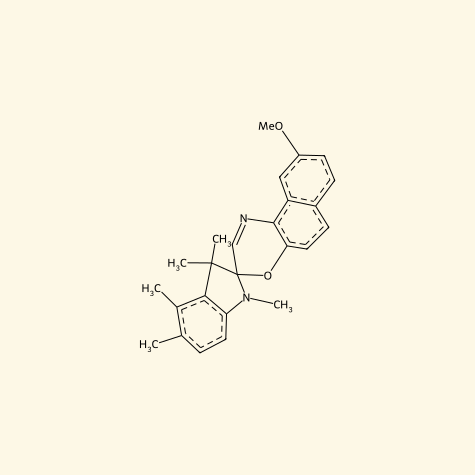 COc1ccc2ccc3c(c2c1)N=CC1(O3)N(C)c2ccc(C)c(C)c2C1(C)C